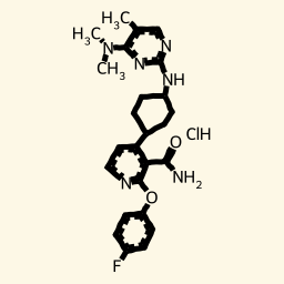 Cc1cnc(NC2CCC(c3ccnc(Oc4ccc(F)cc4)c3C(N)=O)CC2)nc1N(C)C.Cl